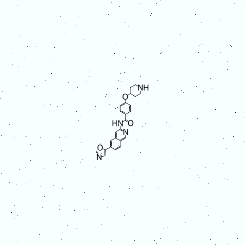 O=C(Nc1cc2cc(-c3cnco3)ccc2cn1)c1ccc(OC2CCNCC2)cc1